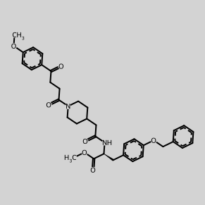 COC(=O)[C@H](Cc1ccc(OCc2ccccc2)cc1)NC(=O)CC1CCN(C(=O)CCC(=O)c2ccc(OC)cc2)CC1